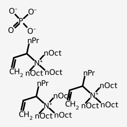 C=CC(CCC)[N+](CCCCCCCC)(CCCCCCCC)CCCCCCCC.C=CC(CCC)[N+](CCCCCCCC)(CCCCCCCC)CCCCCCCC.C=CC(CCC)[N+](CCCCCCCC)(CCCCCCCC)CCCCCCCC.O=P([O-])([O-])[O-]